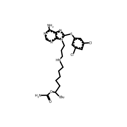 CC(C)(C)C(CCCCCNCCCn1c(Sc2cc(Cl)cc(Cl)c2)nc2c(N)ncnc21)OC(N)=O